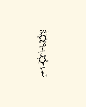 C#CCOc1ccc(SCCOc2ccc(OC)cc2)cc1